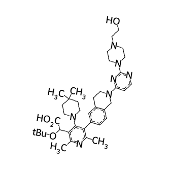 Cc1nc(C)c(C(OC(C)(C)C)C(=O)O)c(N2CCC(C)(C)CC2)c1-c1ccc2c(c1)CCN(c1ccnc(N3CCN(CCO)CC3)n1)C2